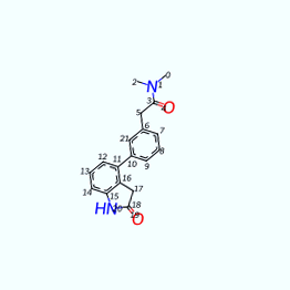 CN(C)C(=O)Cc1cccc(-c2cccc3c2CC(=O)N3)c1